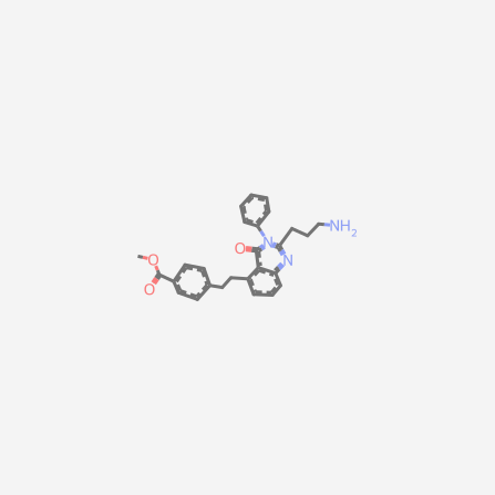 COC(=O)c1ccc(CCc2cccc3nc(CCCN)n(-c4ccccc4)c(=O)c23)cc1